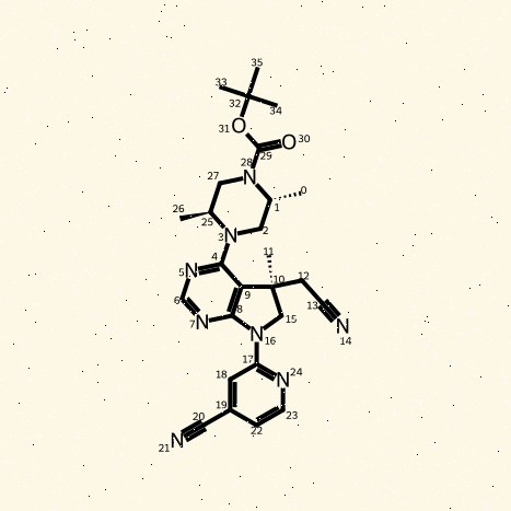 C[C@@H]1CN(c2ncnc3c2[C@@](C)(CC#N)CN3c2cc(C#N)ccn2)[C@@H](C)CN1C(=O)OC(C)(C)C